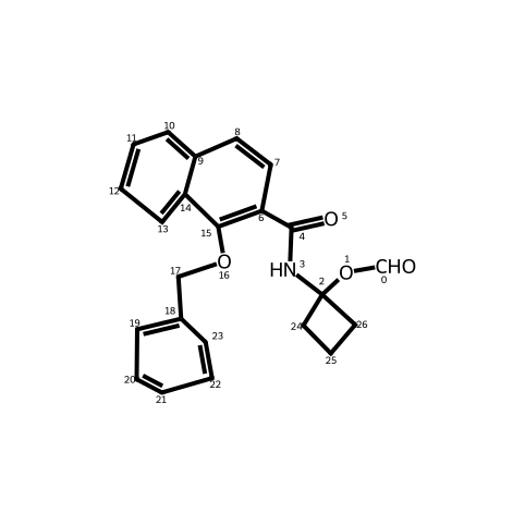 O=COC1(NC(=O)c2ccc3ccccc3c2OCc2ccccc2)CCC1